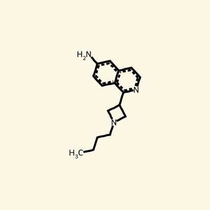 CCCCN1CC(c2nccc3cc(N)ccc23)C1